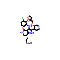 COCC[C@@H]1CNC(=O)c2c1[nH]c(-c1ccncc1OC[C@@]1(C)CCO1)c2Nc1cccc(Cl)c1OC